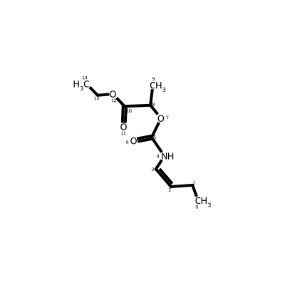 CC/C=C\NC(=O)OC(C)C(=O)OCC